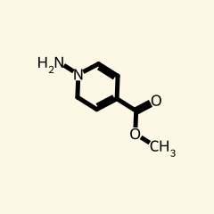 COC(=O)C1=CCN(N)C=C1